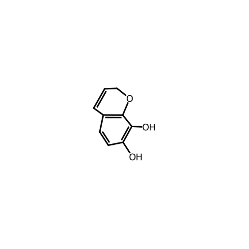 Oc1ccc2c(c1O)OCC=C2